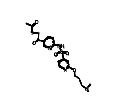 CC(=O)SCC(=O)c1ccc(NS(=O)(=O)c2ccnc(OCCCN(C)C)c2)nc1